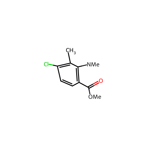 CNc1c(C(=O)OC)ccc(Cl)c1C